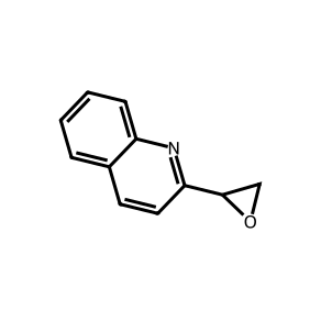 c1ccc2nc(C3CO3)ccc2c1